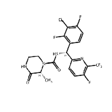 C[C@@H]1C(=O)NCCN1C(=O)N[C@@H](c1ccc(F)c(C(F)(F)F)n1)c1ccc(F)c(Cl)c1F